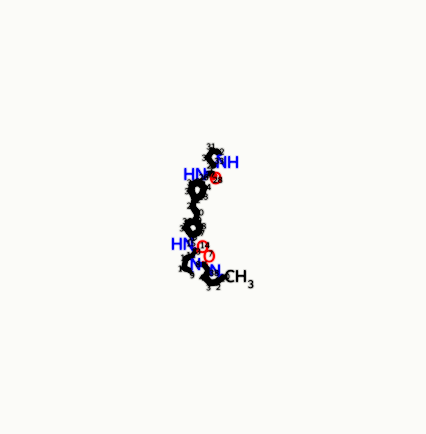 Cc1cccc(C(=O)N2CCC[C@H]2C(=O)Nc2ccc(/C=C/c3ccc(NC(=O)[C@@H]4CCCN4)cc3)cc2)n1